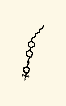 CCCCCCCC1CCC(C2CCC(C#Cc3ccc(C(F)(F)F)cc3)CC2)CC1